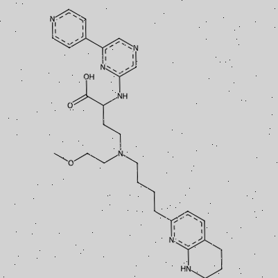 COCCN(CCCCc1ccc2c(n1)NCCC2)CCC(Nc1cncc(-c2ccncc2)n1)C(=O)O